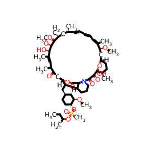 CCC(C)OP(C)(=O)O[C@@H]1CC[C@@H](CC2[C@H]3CCCN4C(=O)C(=O)[C@]5(O)O[C@@H](CC[C@H]5C)C[C@H](OC)/C(C)=C/C=C/C=C/[C@@H](C)C[C@@H](C)C(=O)[C@H](OC)[C@H](O)/C(C)=C/C(C)C(=O)C[C@@H]2OC(=O)C34)C[C@H]1OC